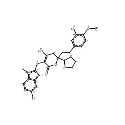 CC(C)Oc1ccc(CCC2(C3CCCC3)CC(O)=C(Sc3nc4cc(Cl)ccc4n3C)C(=O)O2)cc1Cl